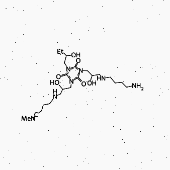 CCC(O)Cn1c(=O)n(CC(O)CNCCCCN)c(=O)n(CC(O)CNCCCCNC)c1=O